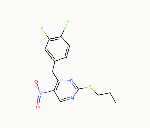 CCCSc1ncc([N+](=O)[O-])c(Cc2ccc(F)c(F)c2)n1